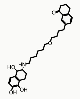 O=C1CCCc2ccc(CCCCOCCCCCCN[C@@H]3CCc4c(ccc(O)c4O)[C@H]3O)cc21